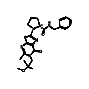 COC(C)(C)Cn1c(C)nc2sc(N3CCC[C@@H]3C(=O)NCc3ccccc3)nc2c1=O